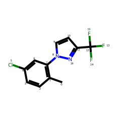 Cc1ccc(Cl)cc1-n1ccc(C(F)(F)F)n1